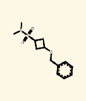 CN(C)S(=O)(=O)C1CC(OCc2ccccc2)C1